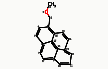 COCc1ccc2ccc3cccc4ccc1c2c34